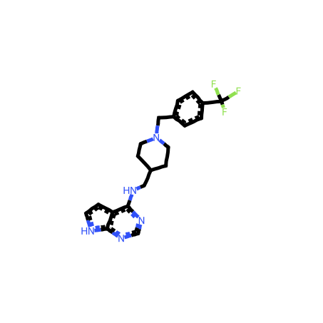 FC(F)(F)c1ccc(CN2CCC(CNc3ncnc4[nH]ccc34)CC2)cc1